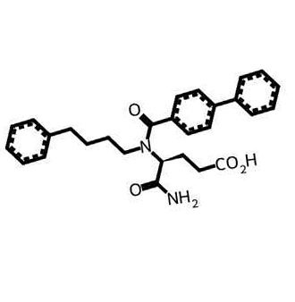 NC(=O)[C@H](CCC(=O)O)N(CCCCc1ccccc1)C(=O)c1ccc(-c2ccccc2)cc1